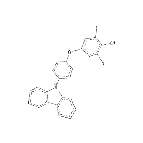 Oc1c(I)cc(Oc2ccc([SH]3c4ccccc4-c4ccccc43)cc2)cc1I